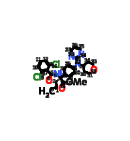 C=CC[C@@](NC(=O)c1c(Cl)cccc1Cl)(C(=O)OC)c1ccc(N(c2ncccn2)C2CCOCC2)cc1